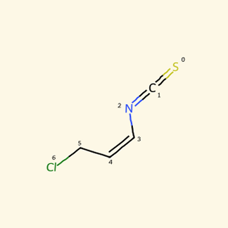 S=C=N/C=C\CCl